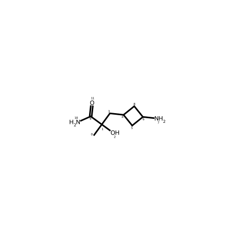 CC(O)(CC1CC(N)C1)C(N)=O